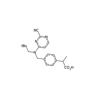 CC(C(=O)O)c1ccc(CN(CC(C)(C)C)c2ccnc(C#N)n2)cc1